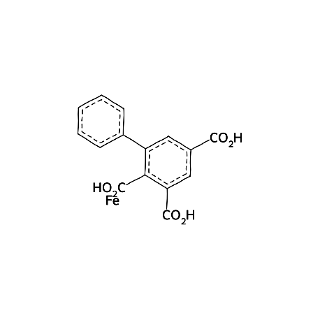 O=C(O)c1cc(C(=O)O)c(C(=O)O)c(-c2ccccc2)c1.[Fe]